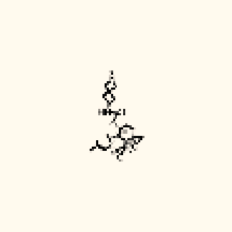 CO[C@@H]1[C@H](OC(=O)NC2CC3(C2)CN(C)C3)CC[C@]2(CO2)[C@H]1[C@@]1(C)O[C@@H]1CC=C(C)C